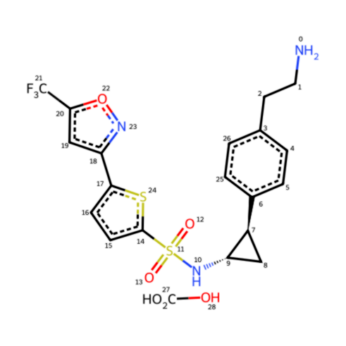 NCCc1ccc([C@H]2C[C@@H]2NS(=O)(=O)c2ccc(-c3cc(C(F)(F)F)on3)s2)cc1.O=C(O)O